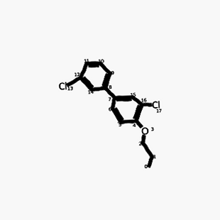 CCCOc1[c]cc(-c2cccc(Cl)c2)cc1Cl